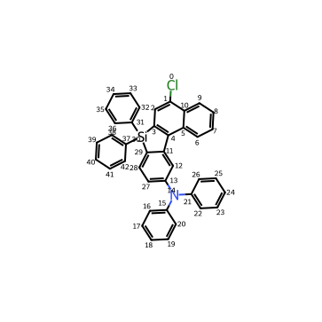 Clc1cc2c(c3ccccc13)-c1cc(N(c3ccccc3)c3ccccc3)ccc1[Si]2(c1ccccc1)c1ccccc1